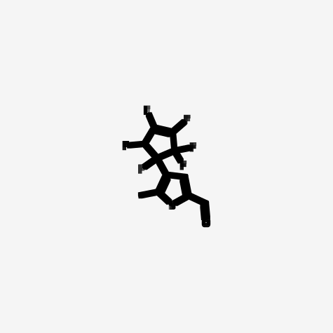 Cc1sc(C=O)cc1C1(F)C(F)C(F)=C(F)C1(F)F